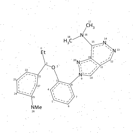 CCC(Oc1ccccc1-n1cc2cnnc(N(C)C)c2n1)c1cccc(NC)c1